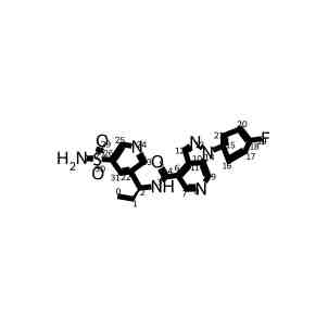 CC[C@H](NC(=O)c1cncc2c1cnn2-c1ccc(F)cc1)c1cncc(S(N)(=O)=O)c1